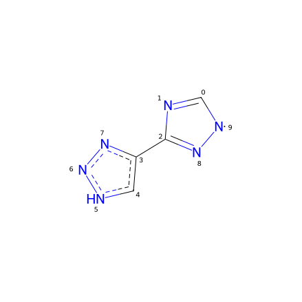 C1=NC(c2c[nH]nn2)=N[N]1